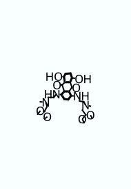 COC(CN(C)CCNc1ccc(NCCN(C)CC(OC)OC)c2c1C(=O)c1c(O)ccc(O)c1C2=O)OC